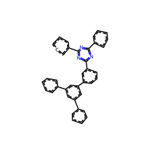 c1ccc(-c2cc(-c3ccccc3)cc(-c3cccc(-c4nc(-c5ccccc5)nc(-c5ccccc5)n4)c3)c2)cc1